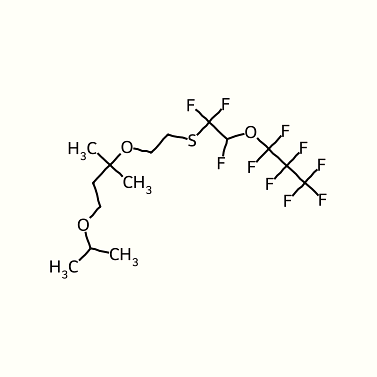 CC(C)OCCC(C)(C)OCCSC(F)(F)C(F)OC(F)(F)C(F)(F)C(F)(F)F